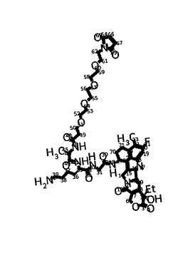 CC[C@@]1(O)C(=O)OCc2c1cc1n(c2=O)Cc2c-1nc1cc(F)c(C)c3c1c2[C@@H](NC(=O)CNC(=O)[C@@H](CCCCN)NC(=O)[C@@H](C)NC(=O)CCOCCOCCOCCOCCN1C(=O)C=CC1=O)CC3